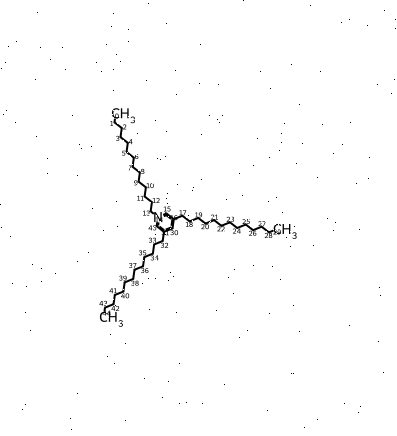 CCCCCCCCCCCCCC[n+]1cc(CCCCCCCCCCCCC)cc(CCCCCCCCCCCCC)c1